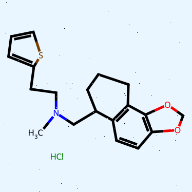 CN(CCc1cccs1)CC1CCCc2c1ccc1c2OCO1.Cl